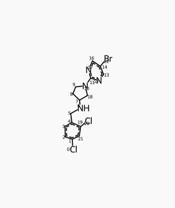 Clc1ccc(CNC2CCN(c3ncc(Br)cn3)C2)c(Cl)c1